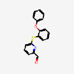 O=Cc1cccc(Sc2ccccc2Oc2ccccc2)n1